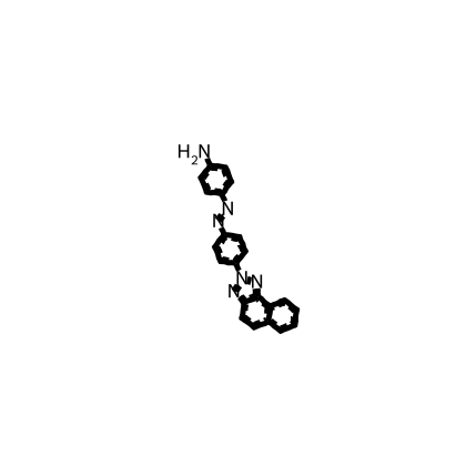 Nc1ccc(N=Nc2ccc(-n3nc4ccc5ccccc5c4n3)cc2)cc1